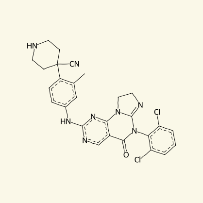 Cc1cc(Nc2ncc3c(n2)N2CCN=C2N(c2c(Cl)cccc2Cl)C3=O)ccc1C1(C#N)CCNCC1